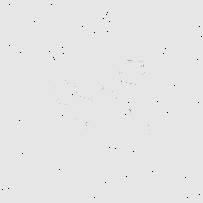 CCN(CC)C(=O)CN(C(=O)C(OC(C)=O)c1ccccc1)c1ccccc1